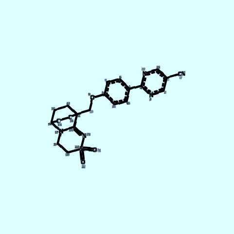 N#Cc1cnc(-c2ccc(OCC34CCC(CC3)N3CCS(=O)(=O)N=C34)cc2)nc1